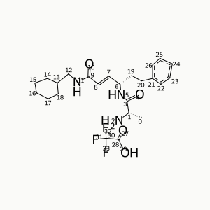 C[C@H](N)C(=O)N[C@H](/C=C/C(=O)NCC1CCCCC1)CCc1ccccc1.O=C(O)C(F)(F)F